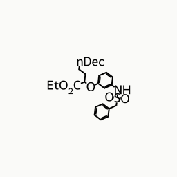 CCCCCCCCCCCCC(Oc1cccc(NS(=O)(=O)Cc2ccccc2)c1)C(=O)OCC